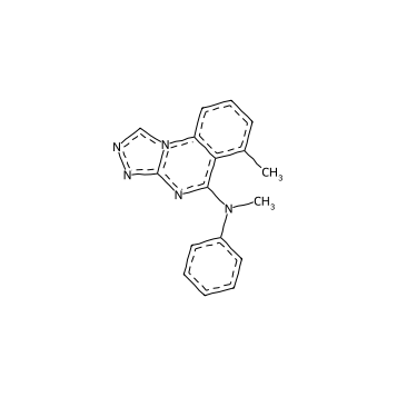 Cc1cccc2c1c(N(C)c1ccccc1)nc1nncn12